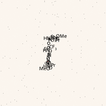 COC(=O)N[C@H](C(=O)N1CCC[C@H]1c1nc(-c2ccc(-c3cc(F)c(NC(=O)c4ccc(N5CCN(C(=O)[C@]6(C)CCCN6C(=O)[C@@H](NC(=O)OC)C(C)C)C[C@H]5C)nc4)cc3C(F)(F)F)cc2)c[nH]1)C(C)C